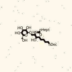 CCCCCCCCCCCCCCCC(O)C(CO[C@H]1O[C@H](CO)[C@H](O)[C@H](O)[C@H]1O)NC(=O)CCCCCCC